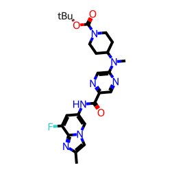 Cc1cn2cc(NC(=O)c3cnc(N(C)C4CCN(C(=O)OC(C)(C)C)CC4)cn3)cc(F)c2n1